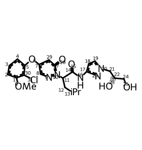 COc1cccc(Oc2cnn(C(CC(C)C)C(=O)Nc3ccn(C[C@@H](O)CO)n3)c(=O)c2)c1Cl